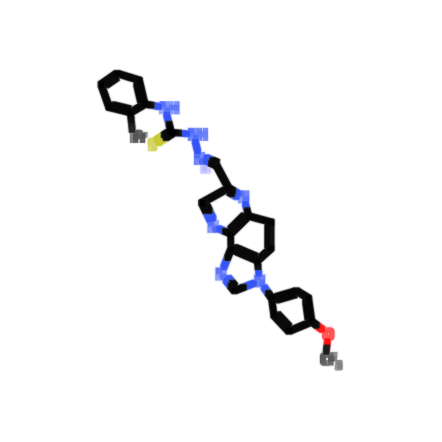 CC(C)c1ccccc1NC(=S)N/N=C/c1cnc2c(ccc3c2ncn3-c2ccc(OC(F)(F)F)cc2)n1